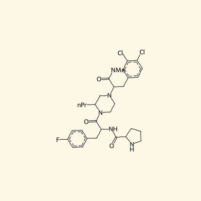 CCCC1CN(C(Cc2ccc(Cl)c(Cl)c2)C(=O)NC)CCN1C(=O)C(Cc1ccc(F)cc1)NC(=O)C1CCCN1